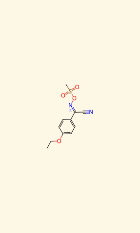 CCOc1ccc(/C(C#N)=N/OS(C)(=O)=O)cc1